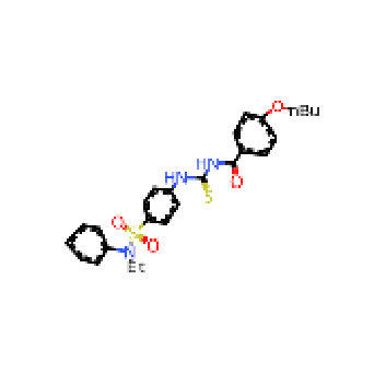 CCCCOc1ccc(C(=O)NC(=S)Nc2ccc(S(=O)(=O)N(CC)c3ccccc3)cc2)cc1